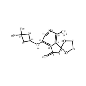 O=C1CC2(OCCO2)c2c(C(F)(F)F)ncc(OC3CC(F)(F)C3)c21